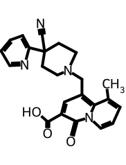 Cc1cccn2c(=O)c(C(=O)O)cc(CN3CCC(C#N)(c4ccccn4)CC3)c12